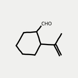 C=C(C)C1CCCCC1C=O